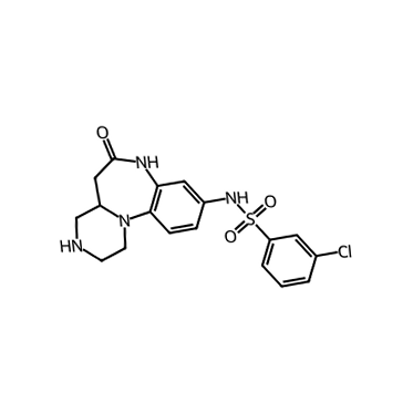 O=C1CC2CNCCN2c2ccc(NS(=O)(=O)c3cccc(Cl)c3)cc2N1